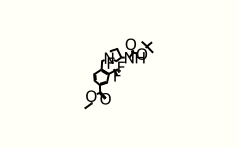 CCOC(=O)c1ccc(CN2CCC(NC(=O)OC(C)(C)C)C2)c(C(F)(F)F)c1